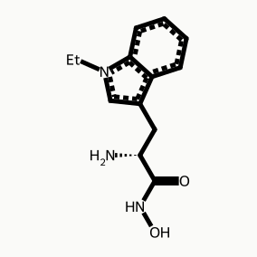 CCn1cc(C[C@@H](N)C(=O)NO)c2ccccc21